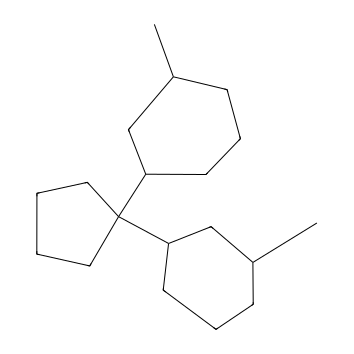 CC1CCCC(C2(C3CCCC(C)C3)CCCC2)C1